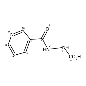 O=C(O)NNC(=O)c1cccnc1